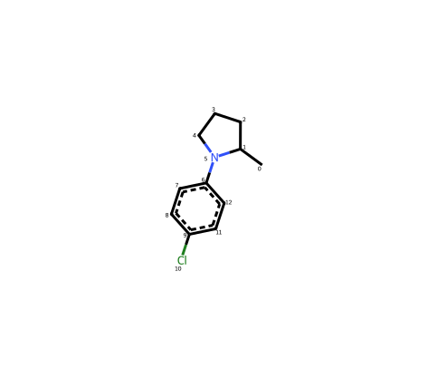 CC1CCCN1c1ccc(Cl)cc1